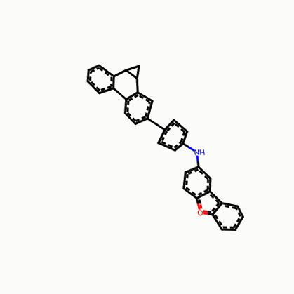 c1ccc2c(c1)-c1ccc(-c3ccc(Nc4ccc5oc6ccccc6c5c4)cc3)cc1C1CC21